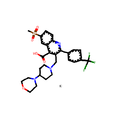 CS(=O)(=O)c1ccc2nc(-c3ccc(C(F)(F)F)cc3)c(CN3CCC(N4CCOCC4)CC3)c(C(=O)O)c2c1.[K]